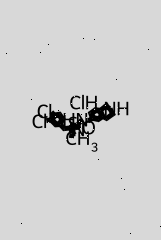 Cc1nc(NC(=O)c2ccc3c(c2)CCNC3)sc1Cc1ccc(Cl)c(Cl)c1.Cl